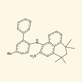 CC(C)(C)c1ccc(Nc2c(N)cc3c4c(cccc24)C(C)(C)CC3(C)C)c(-c2ccccc2)c1